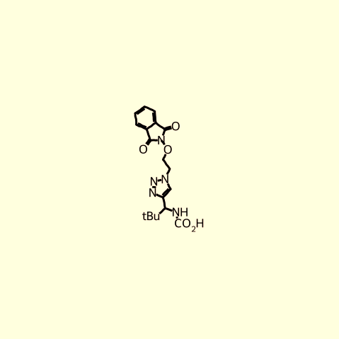 CC(C)(C)C(NC(=O)O)c1cn(CCON2C(=O)c3ccccc3C2=O)nn1